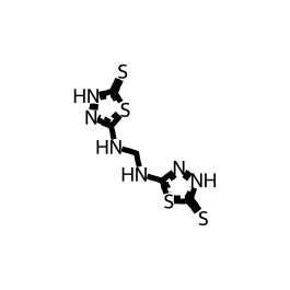 S=c1[nH]nc(NCNc2n[nH]c(=S)s2)s1